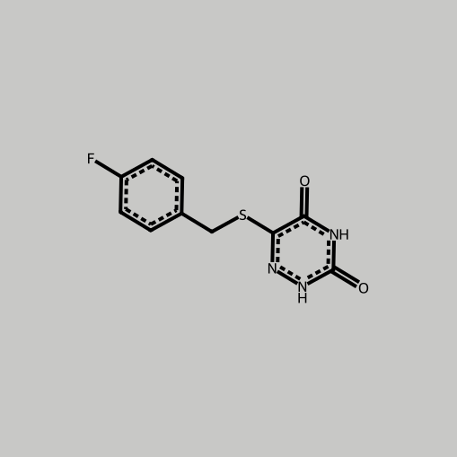 O=c1[nH]nc(SCc2ccc(F)cc2)c(=O)[nH]1